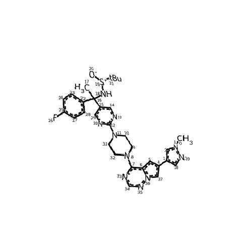 Cn1cc(-c2cc3c(N4CCN(c5ncc(C(C)(N[S+]([O-])C(C)(C)C)c6ccc(F)cc6)cn5)CC4)ncnn3c2)cn1